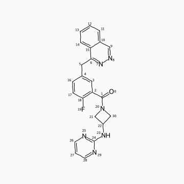 O=C(c1cc(Cc2nncc3ccccc23)ccc1F)N1CC(Nc2ncccn2)C1